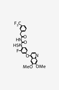 COc1cc2nccc(Oc3ccc(N(S)C(=O)NC(=O)Cc4cccc(C(F)(F)F)c4)c(F)c3)c2cc1OC